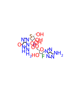 Nc1nc2c(ncn2[C@@H]2S[C@H](CO)[C@@H](O)[C@H]2OP(=O)(O)OC[C@H]2O[C@@H](n3cnc4c(N)ncnc43)[C@@H](F)[C@@H]2O)c(=O)[nH]1